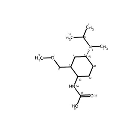 COCC1C[C@H](N(C)C(C)C)CCC1NC(=O)O